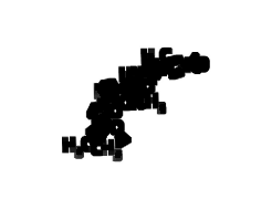 C[C@H]1CN(C2COC2)CCN1c1ccc(Nc2cc(-c3ccnc(N4CCn5c6c(c(OC7CC7)c5C4=O)CC(C)(C)C6)c3CO)cn(C)c2=O)nc1